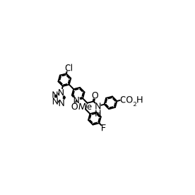 CO[n+]1cc(-c2cc(Cl)ccc2-n2cnnn2)ccc1[C@H](Cc1ccc(F)cc1)C(=O)Nc1ccc(C(=O)O)cc1